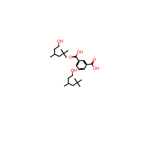 CC(CCO)CC(C)(C)C.CC(CCO)CC(C)(C)C.O=C(O)c1cccc(C(=O)O)c1